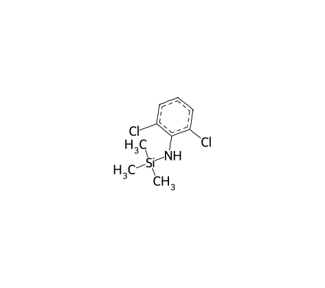 C[Si](C)(C)Nc1c(Cl)cccc1Cl